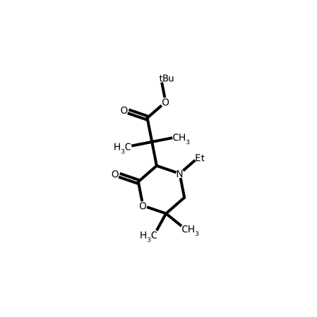 CCN1CC(C)(C)OC(=O)C1C(C)(C)C(=O)OC(C)(C)C